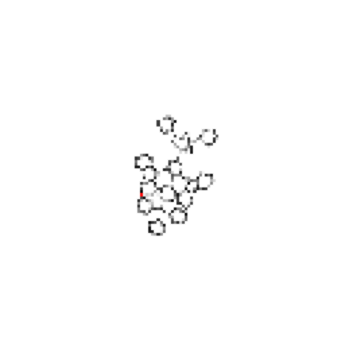 c1ccc(-c2nc(-c3ccccc3)nc(-c3cc(-n4c5ccccc5c5ccccc54)c(-c4ccc(C(c5ccccc5)(c5ccccc5)c5ccccc5)cc4)c(-n4c5ccccc5c5ccccc54)c3)n2)cc1